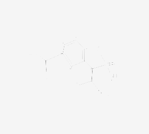 CC(C)c1cccc(C(C(N)O)P(=O)(S)S)c1